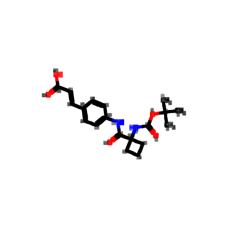 CC(C)(C)OC(=O)NC1(C(=O)Nc2ccc(/C=C/C(=O)O)cc2)CCC1